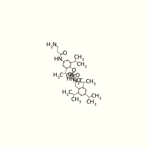 CC(C)c1cc(C(C)C)c(CC(=O)NS(=O)(=O)Oc2c(C(C)C)cc(NC(=O)CCN)cc2C(C)C)c(C(C)C)c1